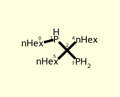 CCCCCCPC(P)(CCCCCC)CCCCCC